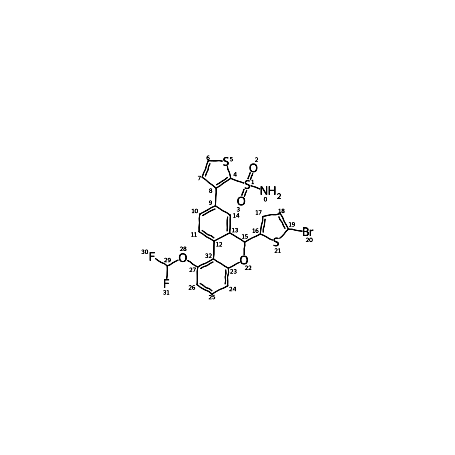 NS(=O)(=O)c1sccc1-c1ccc2c(c1)C(c1ccc(Br)s1)Oc1cccc(OC(F)F)c1-2